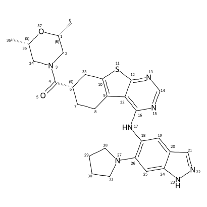 C[C@@H]1CN(C(=O)[C@H]2CCc3c(sc4ncnc(Nc5cc6cn[nH]c6cc5N5CCCC5)c34)C2)C[C@H](C)O1